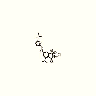 CC(C)c1cc(OCc2ccc(CN(C)C)o2)cc2c1C(=O)N(CCl)S2(=O)=O